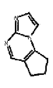 [c]1cnc2ncc3c(n12)CCC3